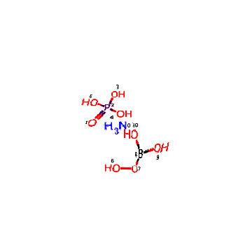 N.O=P(O)(O)O.OOB(O)O